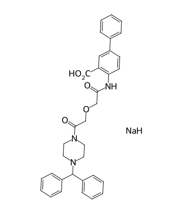 O=C(COCC(=O)N1CCN(C(c2ccccc2)c2ccccc2)CC1)Nc1ccc(-c2ccccc2)cc1C(=O)O.[NaH]